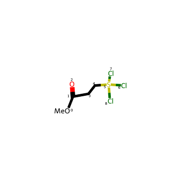 COC(=O)CCS(Cl)(Cl)Cl